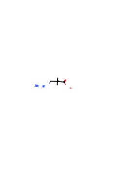 COC(=O)C(C)(C)CN=[N+]=[N-]